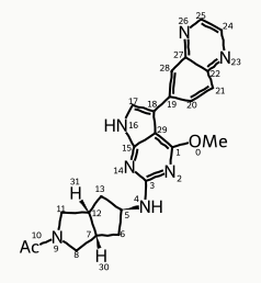 COc1nc(N[C@H]2C[C@@H]3CN(C(C)=O)C[C@@H]3C2)nc2[nH]cc(-c3ccc4nccnc4c3)c12